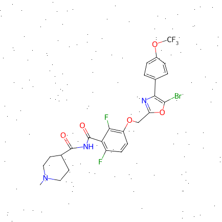 CN1CCC(C(=O)NC(=O)c2c(F)ccc(OCc3nc(-c4ccc(OC(F)(F)F)cc4)c(Br)o3)c2F)CC1